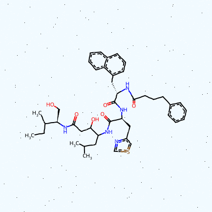 CCC(C)[C@@H](CO)NC(=O)CC(O)C(CC(C)C)NC(=O)[C@H](Cc1cscn1)NC(=O)[C@H](Cc1cccc2ccccc12)NC(=O)CCCc1ccccc1